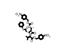 CC(C)=C(C(=O)OCc1ccc([N+](=O)[O-])cc1)N1C(=O)[C@H]([C@@H](C)OC(=O)OCc2ccc([N+](=O)[O-])cc2)[C@H]1CC(=O)Sc1ccccc1